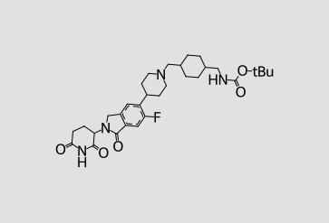 CC(C)(C)OC(=O)NCC1CCC(CN2CCC(c3cc4c(cc3F)C(=O)N(C3CCC(=O)NC3=O)C4)CC2)CC1